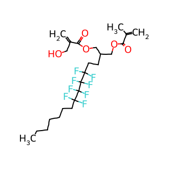 C=C(C)C(=O)OCC(CCC(F)(F)C(F)(F)C(F)(F)C(F)(F)CCCCCCC)COC(=O)C(=C)CO